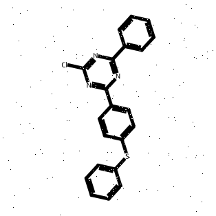 Clc1nc(-c2ccccc2)nc(-c2ccc(Sc3ccccc3)cc2)n1